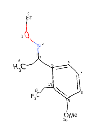 CCO/N=C(\C)c1cccc(OC)c1C(F)(F)F